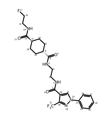 O=C(NCCNC(=O)[C@H]1CC[C@H](C(=O)NCCF)CC1)c1cn(-c2ccccc2)nc1C(F)(F)F